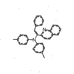 Cc1ccc(N(C(=Cc2ccccc2)c2ccc3ccccc3n2)c2ccc(C)cc2)cc1